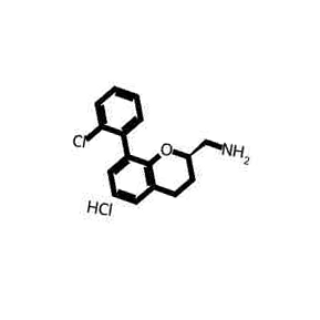 Cl.NC[C@H]1CCc2cccc(-c3ccccc3Cl)c2O1